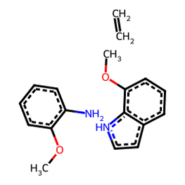 C=C.COc1cccc2cc[nH]c12.COc1ccccc1N